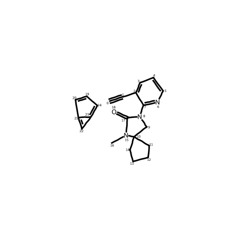 C#Cc1cccnc1N1CC2(CCCC2)N(C)C1=O.c1cc2cc-2c1